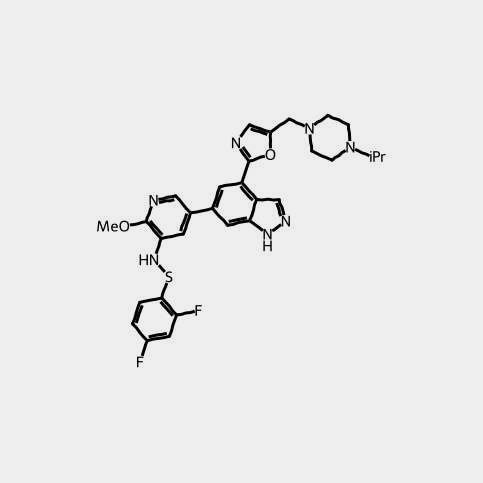 COc1ncc(-c2cc(-c3ncc(CN4CCN(C(C)C)CC4)o3)c3cn[nH]c3c2)cc1NSc1ccc(F)cc1F